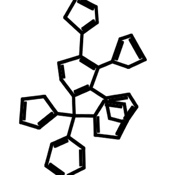 C1=CCC(c2ccc(C(C3=CC=CC3)(c3ccccc3)c3ccccc3)c(C3=CC=CC3)c2C2=CC=CC2)=C1